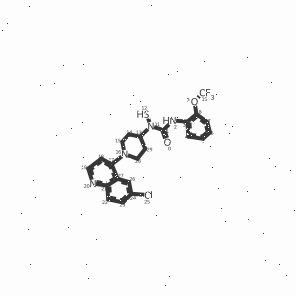 O=C(Nc1ccccc1OC(F)(F)F)N(S)C1CCN(c2ccnc3ccc(Cl)cc23)CC1